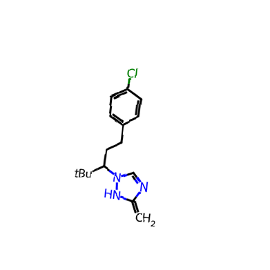 C=C1N=CN(C(CCc2ccc(Cl)cc2)C(C)(C)C)N1